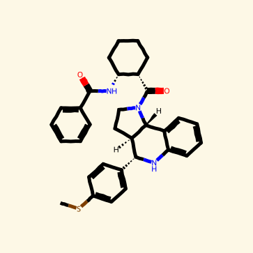 CSc1ccc([C@H]2Nc3ccccc3[C@@H]3[C@@H]2CCN3C(=O)[C@H]2CCCC[C@H]2NC(=O)c2ccccc2)cc1